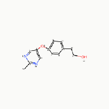 Cc1ncc(Oc2ccc(CCO)cc2)cn1